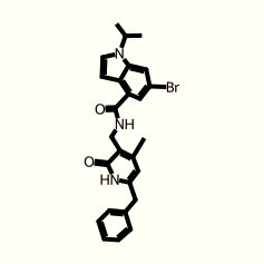 Cc1cc(Cc2ccccc2)[nH]c(=O)c1CNC(=O)c1cc(Br)cc2c1ccn2C(C)C